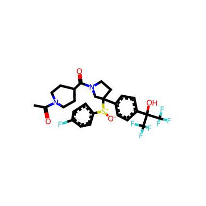 CC(=O)N1CCC(C(=O)N2CCC(c3ccc(C(O)(C(F)(F)F)C(F)(F)F)cc3)([S+]([O-])c3ccc(F)cc3)C2)CC1